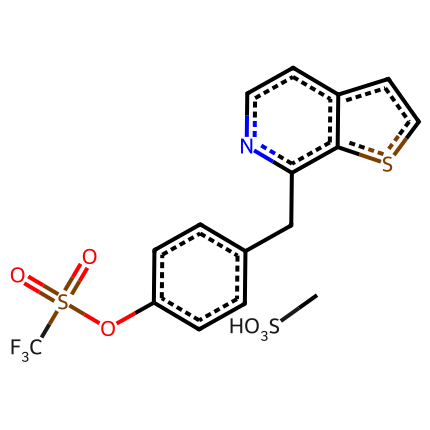 CS(=O)(=O)O.O=S(=O)(Oc1ccc(Cc2nccc3ccsc23)cc1)C(F)(F)F